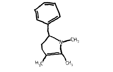 CC1=C(C)N(C)C(c2ccccc2)C1